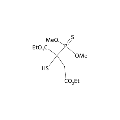 CCOC(=O)CC(S)(C(=O)OCC)P(=S)(OC)OC